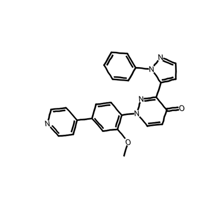 COc1cc(-c2ccncc2)ccc1-n1ccc(=O)c(-c2ccnn2-c2ccccc2)n1